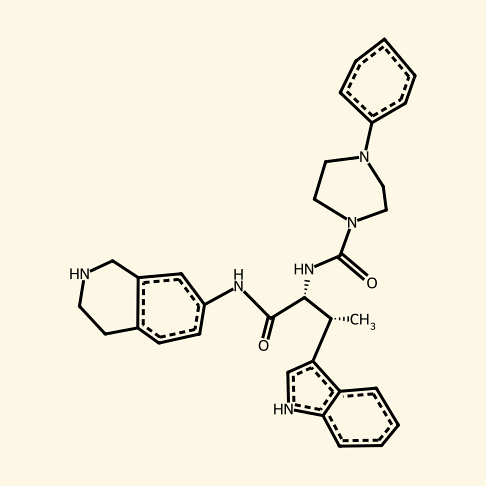 C[C@H](c1c[nH]c2ccccc12)[C@@H](NC(=O)N1CCN(c2ccccc2)CC1)C(=O)Nc1ccc2c(c1)CNCC2